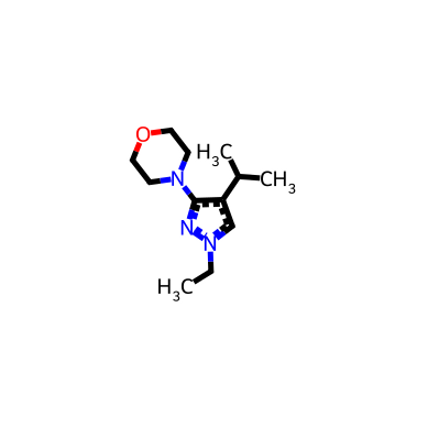 CCn1cc(C(C)C)c(N2CCOCC2)n1